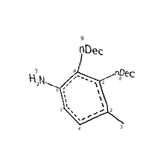 CCCCCCCCCCc1c(C)ccc(N)c1CCCCCCCCCC